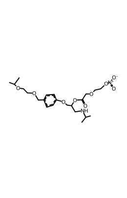 CC(C)NCC(COc1ccc(COCCOC(C)C)cc1)OC(=O)COCCO[N+](=O)[O-]